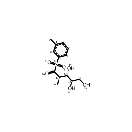 Cc1cccc(S(=O)(=O)C(=O)[C@H](C)[C@H](O)[C@H](O)CO)c1